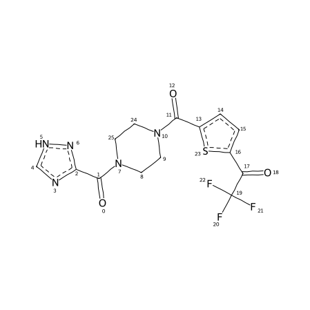 O=C(c1nc[nH]n1)N1CCN(C(=O)c2ccc(C(=O)C(F)(F)F)s2)CC1